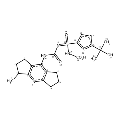 CC1CCc2c1nc1c(c2NC(=O)N=S(=O)(NC(=O)O)c2cnc(C(C)(C)O)s2)CCC1